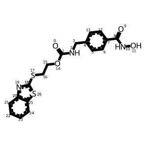 O=C(NCc1ccc(C(=O)NO)cc1)OCCSc1nc2ccccc2s1